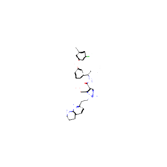 Cc1cc(Cl)cc(Oc2cccc(C(CC(=O)O)NC(=O)c3cnn(CCc4ccc5c(n4)NCCC5)c3CO)c2)c1